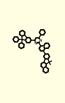 CC1(C)c2ccc(-c3ccc(-c4nc(-c5ccccc5)cc(-c5ccc6c(c5)-c5ccccc5C6(c5ccccc5)c5ccccc5)n4)c4ccccc34)cc2-c2ccc3ccccc3c21